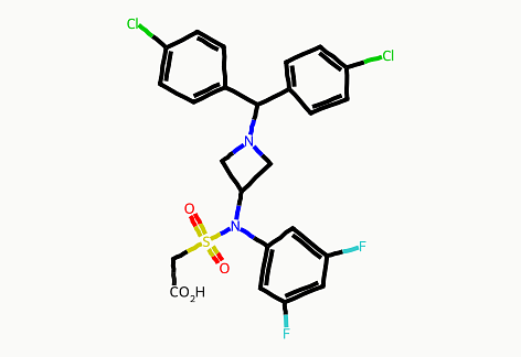 O=C(O)CS(=O)(=O)N(c1cc(F)cc(F)c1)C1CN(C(c2ccc(Cl)cc2)c2ccc(Cl)cc2)C1